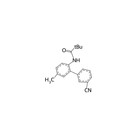 Cc1ccc(NC(=O)C(C)(C)C)c(-c2cccc(C#N)c2)c1